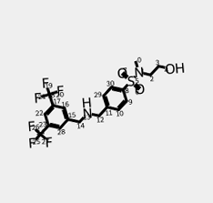 CN(CCO)S(=O)(=O)c1ccc(CNCc2cc(C(F)(F)F)cc(C(F)(F)F)c2)cc1